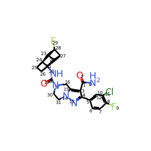 NC(=O)c1c(-c2ccc(F)c(Cl)c2)nn2c1CN(C(=O)NC13C4C5C1C1C3C4C51F)CC2